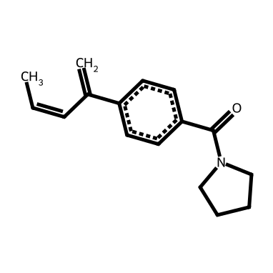 C=C(/C=C\C)c1ccc(C(=O)N2CCCC2)cc1